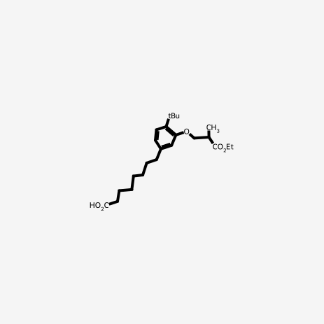 CCOC(=O)C(C)COc1cc(CCCCCCCC(=O)O)ccc1C(C)(C)C